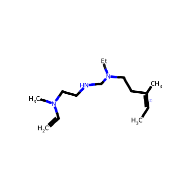 C=CN(C)CCNCN(CC)CC/C(C)=C\C